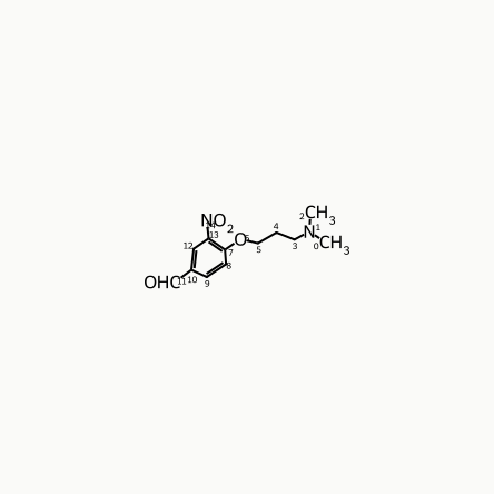 CN(C)CCCOc1ccc(C=O)cc1[N+](=O)[O-]